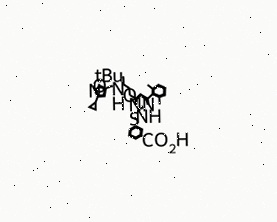 Cc1cccc(C)c1-c1cc(OCC(CC(C)(C)C)NCc2cc(C3CC3)no2)nc(NSc2cccc(C(=O)O)c2)n1